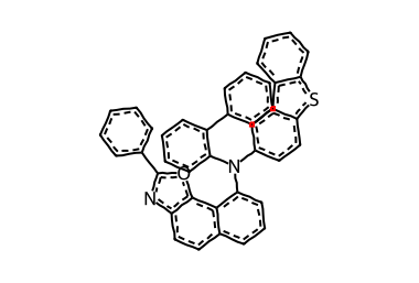 c1ccc(-c2nc3ccc4cccc(N(c5ccc6sc7ccccc7c6c5)c5ccccc5-c5ccccc5)c4c3o2)cc1